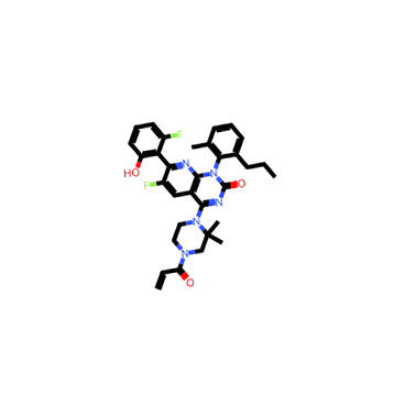 C=CC(=O)N1CCN(c2nc(=O)n(-c3c(C)cccc3CCC)c3nc(-c4c(O)cccc4F)c(F)cc23)C(C)(C)C1